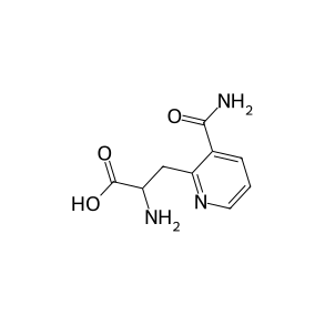 NC(=O)c1cccnc1CC(N)C(=O)O